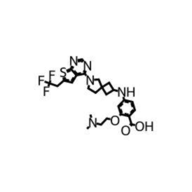 CN(C)CCOc1cc(NC2CC3(CCN(c4ncnc5sc(CC(F)(F)F)cc45)C3)C2)ccc1C(=O)O